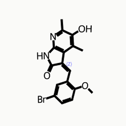 COc1ccc(Br)cc1/C=C1\C(=O)Nc2nc(C)c(O)c(C)c21